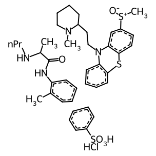 CCCNC(C)C(=O)Nc1ccccc1C.CN1CCCCC1CCN1c2ccccc2Sc2ccc([S+](C)[O-])cc21.Cl.O=S(=O)(O)c1ccccc1